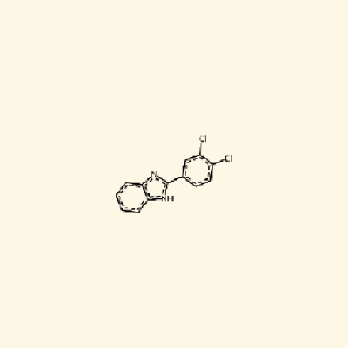 Clc1ccc(-c2nc3ccccc3[nH]2)cc1Cl